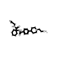 CCCN1CCC(c2ccc(C(=O)NC3(C(=O)NCC#N)CCCCC3)cc2)CC1